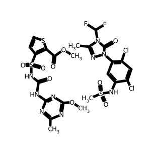 COC(=O)c1sccc1S(=O)(=O)NC(=O)Nc1nc(C)nc(OC)n1.Cc1nn(-c2cc(NS(C)(=O)=O)c(Cl)cc2Cl)c(=O)n1C(F)F